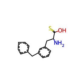 N[C@@H](Cc1cccc(Cc2ccccc2)c1)C(O)=S